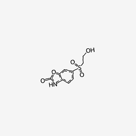 O=c1[nH]c2ccc(S(=O)(=O)CCO)cc2o1